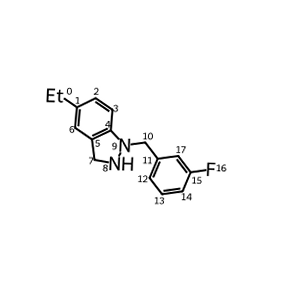 CCc1ccc2c(c1)CNN2Cc1cccc(F)c1